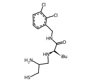 CC[C@H](C)[C@@H](NCC(N)CS)C(=O)NCc1cccc(Cl)c1Cl